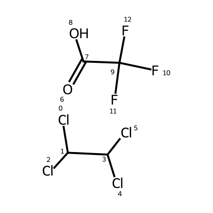 ClC(Cl)C(Cl)Cl.O=C(O)C(F)(F)F